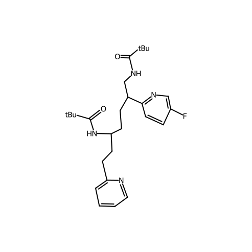 CC(C)(C)C(=O)NCC(CCC(CCc1ccccn1)NC(=O)C(C)(C)C)c1ccc(F)cn1